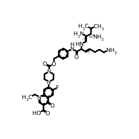 CCn1cc(C(=O)O)c(=O)c2cc(F)c(N3CCN(C(=O)OCc4ccc(NC(=O)C(/C=C/CCCN)N/C=C(\N)[C@@H](N)C(C)C)cc4)CC3)cc21